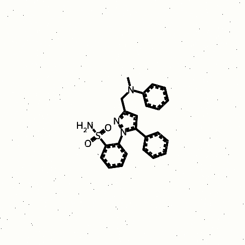 CN(Cc1cc(-c2ccccc2)n(-c2ccccc2S(N)(=O)=O)n1)c1ccccc1